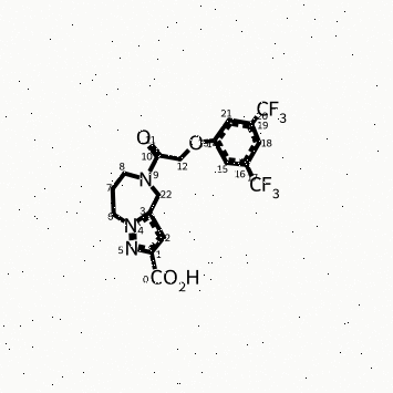 O=C(O)c1cc2n(n1)CCCN(C(=O)COc1cc(C(F)(F)F)cc(C(F)(F)F)c1)C2